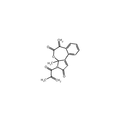 C=C(C)C(=O)N1C(=O)C=C2c3ccccc3C(=C)C(=O)OC21C